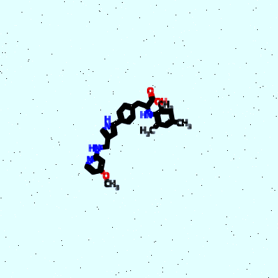 COc1ccnc(NCc2c[nH]c(-c3ccc(CC(Nc4c(C)cc(C)cc4C)C(=O)O)cc3)c2)c1